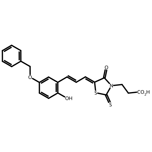 O=C(O)CCN1C(=O)C(=CC=Cc2cc(OCc3ccccc3)ccc2O)SC1=S